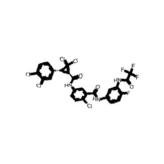 O=C(Nc1ccc(F)c(NC(=O)C(F)(F)F)c1)c1cc(NC(=O)[C@H]2[C@H](c3ccc(Cl)c(Cl)c3)C2(Cl)Cl)ccc1Cl